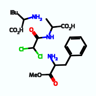 CC(NC(=O)C(Cl)Cl)C(=O)O.CCC(C)C(N)C(=O)O.COC(=O)C(N)Cc1ccccc1